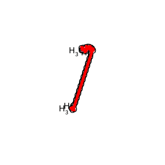 Cc1sc(CC(O)COCCOCCOCCOCCOCCOCCOCCOCCOCCOCCOCCOCCOCCOCCOCCOCCOCCOCCOCCOCCOCCOCCOCC(O)Cc2sc(-c3sc([C+]4S/C(=c5/s/c(=C6/S[C+](C)C7=C6OCCO7)c6c5OCCO6)C5=C4OCCO5)c4c3OCCO4)c3c2OCCO3)c2c1OCCO2